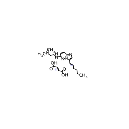 CCCC/C=C/c1cnc2ccc(NCCN(C)C)nn12.O=C(O)/C=C/C(=O)O